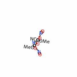 COc1cc(C2C=Nc3cc(OC)c(OCCCN4CCOCC4)cc3C2=O)c(C#N)cc1OCCCN1CCOCC1